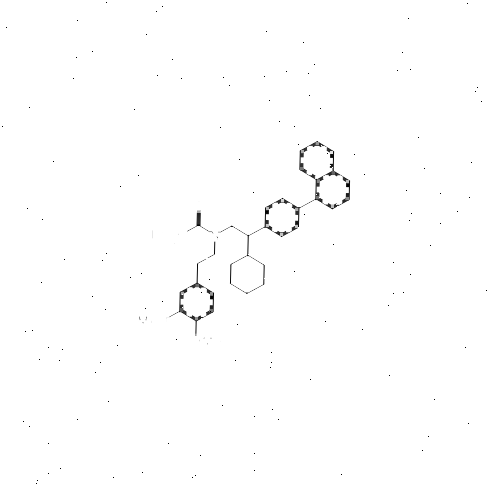 COc1ccc(CCN(CC(c2ccc(-c3cccc4ccccc34)cc2)C2CCCCC2)C(=O)C(=O)O)cc1OC